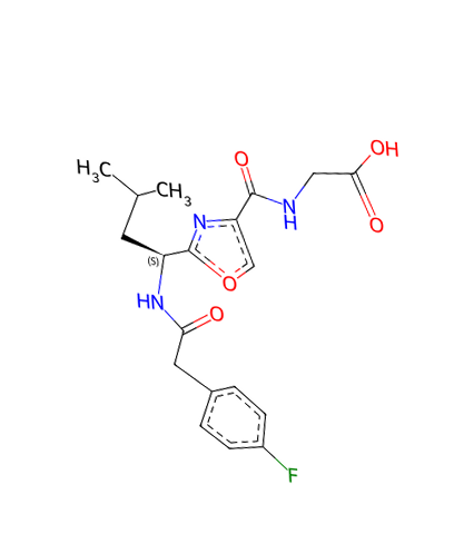 CC(C)C[C@H](NC(=O)Cc1ccc(F)cc1)c1nc(C(=O)NCC(=O)O)co1